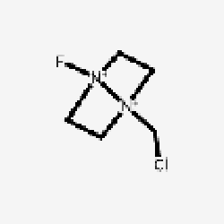 F[N+]12CC[N+]1(CCl)CC2